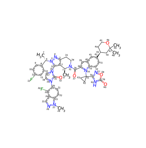 C[C@H]1c2c(nn([C@@H](C)c3ccc(F)cc3)c2-n2ccn(-c3ccc4c(cnn4C)c3F)c2=O)CCN1C(=O)c1cc2cc([C@H]3CCOC(C)(C)C3)ccc2n1C1(c2noc(=O)[nH]2)CC1